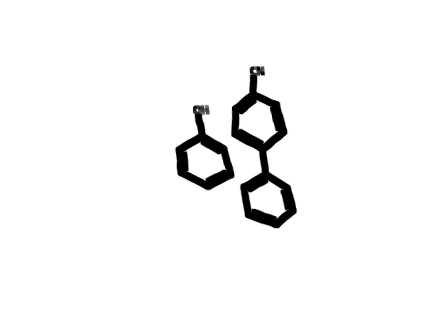 N#Cc1ccc(-c2ccccc2)cc1.Oc1ccccc1